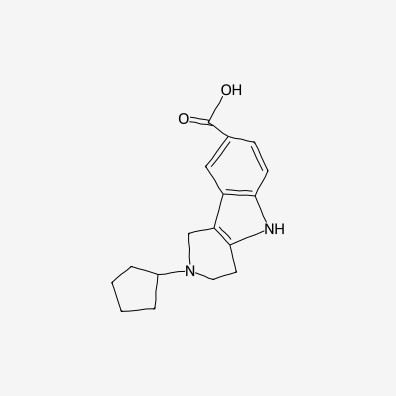 O=C(O)c1ccc2[nH]c3c(c2c1)CN(C1CCCC1)CC3